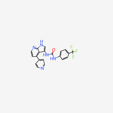 O=C(Nc1ccc(C(F)(F)F)cc1)Nc1c[nH]c2nccc(-c3ccncc3)c12